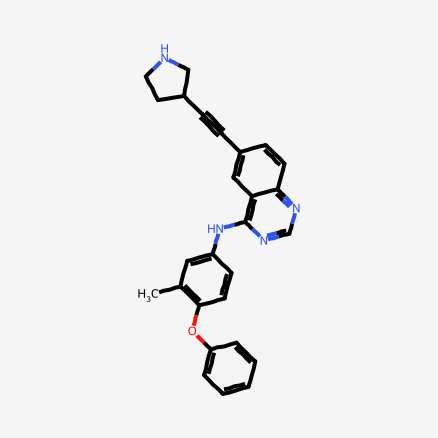 Cc1cc(Nc2ncnc3ccc(C#CC4CCNC4)cc23)ccc1Oc1ccccc1